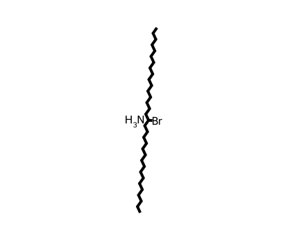 CCCCCCCCCCCCCCCCC(Br)CCCCCCCCCCCCCCCC.N